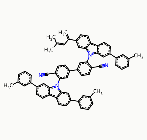 C=C(C=C(C)C)c1ccc2c3ccc(-c4cccc(C)c4)cc3n(-c3cc(-c4ccc(C#N)c(-n5c6cc(-c7cccc(C)c7)ccc6c6ccc(-c7cccc(C)c7)cc65)c4)ccc3C#N)c2c1